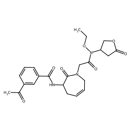 CCON(C(=O)CN1CC=CCC(NC(=O)c2cccc(C(C)=O)c2)C1=O)C1COC(=O)C1